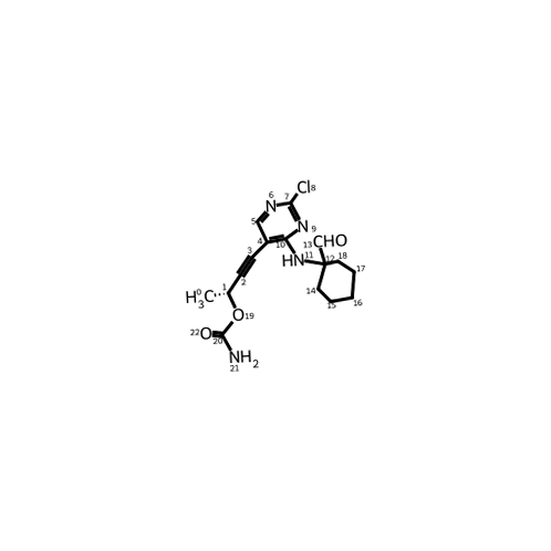 C[C@H](C#Cc1cnc(Cl)nc1NC1(C=O)CCCCC1)OC(N)=O